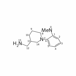 CNc1ccccc1N1CCCC(CN)C1